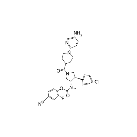 CN(C(=O)Oc1ccc(C#N)cc1F)[C@@H]1CN(C(=O)C2CCN(c3ccc(N)cn3)CC2)C[C@H]1c1ccc(Cl)cc1